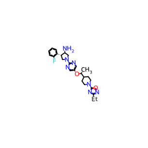 CCc1noc(N2CCC([C@H](C)Oc3cnc(N4C[C@H](c5ccccc5F)[C@@H](N)C4)nc3)CC2)n1